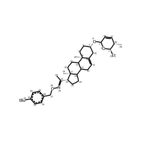 CC[C@H]1OC(O[C@H]2CC[C@@]3(C)C(=CCC4C3CC[C@@]3(C)C4CC[C@@H]3/C(C)=N/OCc3ccc(C(C)(C)C)cc3)C2)C=C[C@@H]1C